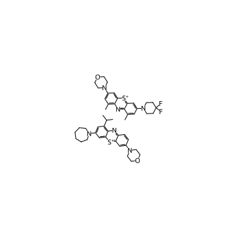 CC(C)c1cc(N2CCCCCC2)cc2[s+]c3cc(N4CCOCC4)ccc3nc12.Cc1cc(N2CCOCC2)cc2[s+]c3cc(N4CCC(F)(F)CC4)cc(C)c3nc12